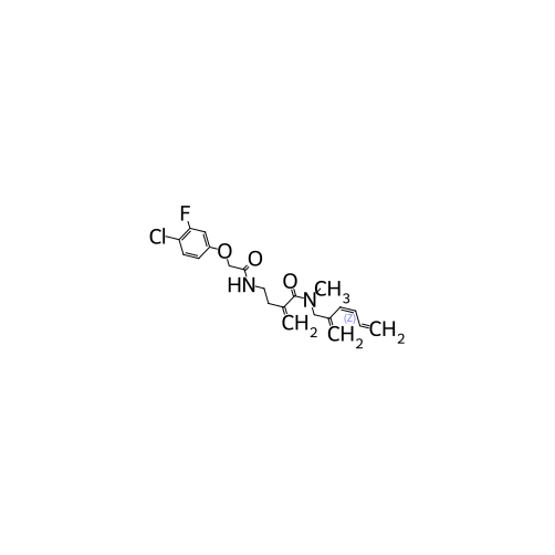 C=C/C=C\C(=C)CN(C)C(=O)C(=C)CCNC(=O)COc1ccc(Cl)c(F)c1